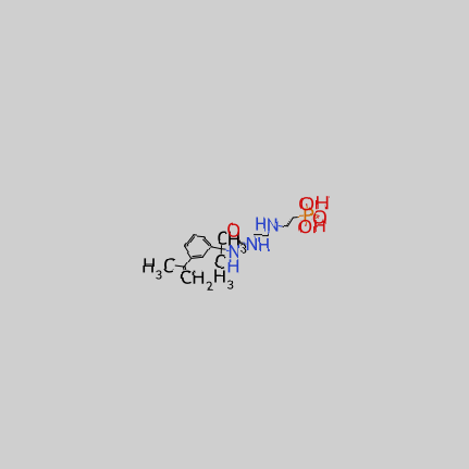 C=C(C)c1cccc(C(C)(C)NC(=O)NCCNCCP(=O)(O)O)c1